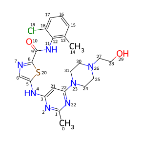 Cc1nc(Nc2cnc(C(=O)Nc3c(C)cccc3Cl)s2)cc(N2CCN(CCO)CC2)n1